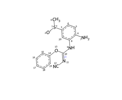 C[S+]([O-])c1ccc(N)c(N/C(=N/C#N)Oc2ccccc2)c1